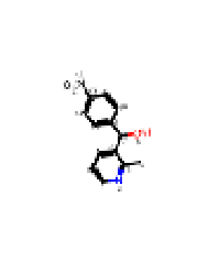 Cc1ncccc1C(O)c1ccc([N+](=O)[O-])cc1